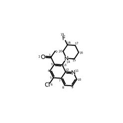 CC(=O)c1cc(Cl)c2cccnc2c1N1CCCC(F)C1